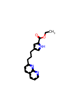 CCOC(=O)c1cc(CCCc2ccc3cccnc3n2)c[nH]1